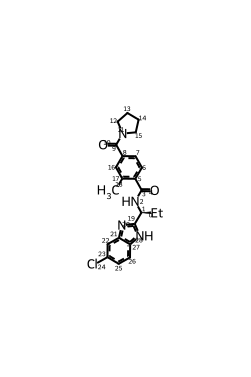 CC[C@H](NC(=O)c1ccc(C(=O)N2CCCC2)cc1C)c1nc2cc(Cl)ccc2[nH]1